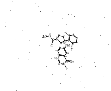 Cc1cccc(Cl)c1[C@]1(Nc2ccc3ncn(C)c(=O)c3c2)CCN(C(=O)OC(C)(C)C)C1